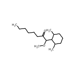 CCCCCCC(=O)C(OC)C1C(C)CCCC1C